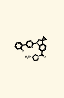 N[C@@H]1CCN(C(=O)c2ccc3c(c2)N(c2ncc(-c4ccccc4F)cn2)CC32CC2)C1